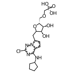 O=P(O)(O)COC[C@H]1OC(Cc2ccc3c(NC4CCCC4)nc(Cl)nn23)[C@H](O)[C@@H]1O